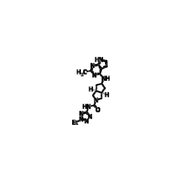 CCn1nnc(NC(=O)N2C[C@H]3C[C@@H](Nc4nc(C)nc5[nH]ccc45)C[C@H]3C2)n1